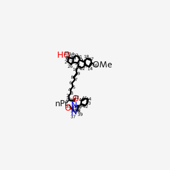 CCC[C@@H](CCCCCCC=CC[C@@H]1Cc2cc(OC)ccc2C2CC[C@@]3(C)C(CC[C@@H]3O)C21)C(=O)N1C(=O)N(C)[C@@H](C)[C@H]1c1ccccc1